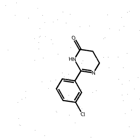 O=C1CCN=C(c2cccc(Cl)c2)N1